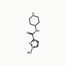 CC(C)(C)n1ccc(C(=O)NC2CCNCC2)n1